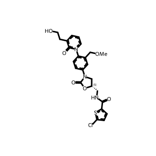 COCc1cc(N2C[C@H](CNC(=O)c3ccc(Cl)s3)OC2=O)ccc1-n1cccc(CCO)c1=O